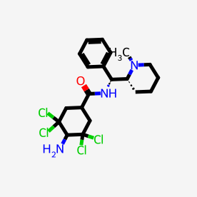 CN1CCCC[C@@H]1[C@H](NC(=O)C1CC(Cl)(Cl)C(N)C(Cl)(Cl)C1)c1ccccc1